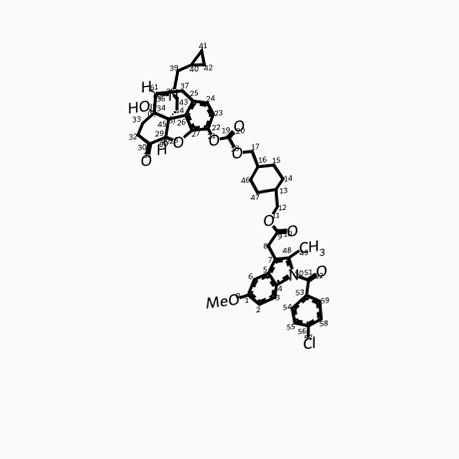 COc1ccc2c(c1)c(CC(=O)OCC1CCC(COC(=O)Oc3ccc4c5c3O[C@H]3C(=O)CC[C@@]6(O)[C@@H](C4)N(CC4CC4)CC[C@]536)CC1)c(C)n2C(=O)c1ccc(Cl)cc1